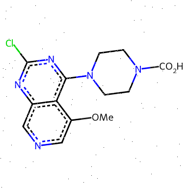 COc1cncc2nc(Cl)nc(N3CCN(C(=O)O)CC3)c12